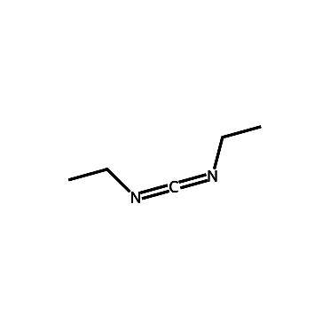 CCN=C=NCC